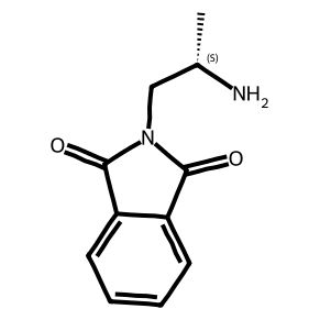 C[C@H](N)CN1C(=O)c2ccccc2C1=O